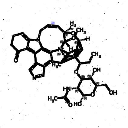 CCC(O[C@H]1[C@H](O)[C@@H](CO)O[C@H](O)[C@@H]1NC(C)=O)C(=O)N(C)[N@@+]12C3=C4C=C[C@@H](C3)O[C@](C)(/C=C\Cn3c5c(c6c7c(c4c1c63)C=NC=7)C(=O)CCC=5)[C@@H]2OC